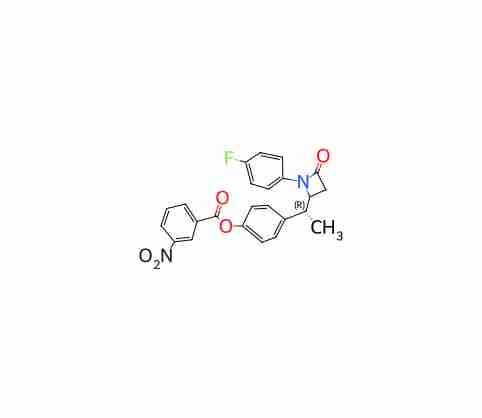 C[C@H](c1ccc(OC(=O)c2cccc([N+](=O)[O-])c2)cc1)C1CC(=O)N1c1ccc(F)cc1